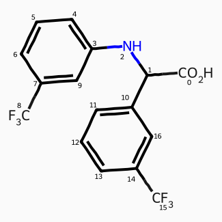 O=C(O)C(Nc1cccc(C(F)(F)F)c1)c1cccc(C(F)(F)F)c1